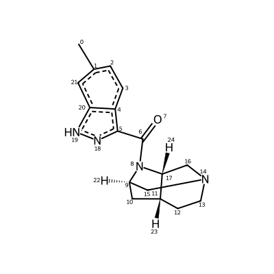 Cc1ccc2c(C(=O)N3[C@@H]4C[C@H]5CCN(C4)C[C@H]53)n[nH]c2c1